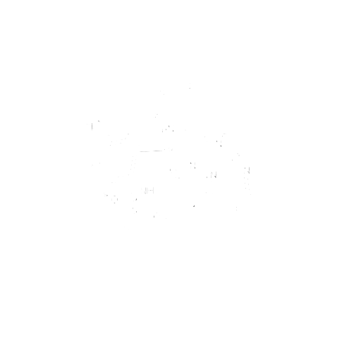 Cc1cc(C)n2nc(C3CCCCN3C(=O)c3cc(Cl)ccc3NS(C)(=O)=O)nc2n1